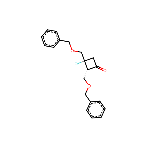 O=C1C[C@](F)(COCc2ccccc2)[C@H]1COCc1ccccc1